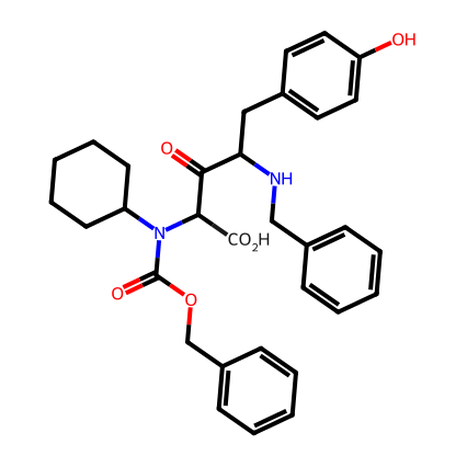 O=C(O)C(C(=O)C(Cc1ccc(O)cc1)NCc1ccccc1)N(C(=O)OCc1ccccc1)C1CCCCC1